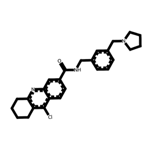 O=C(NCc1cccc(CN2CCCC2)c1)c1ccc2c(Cl)c3c(nc2c1)CCCC3